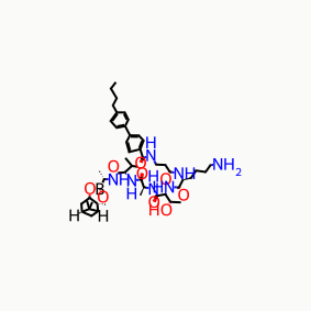 CCCCc1ccc(-c2ccc(C(=O)NCCC(=O)N[C@@H](CCCCN)C(=O)N[C@H](C(=O)N[C@@H](C)C(=O)N[C@H](C(=O)N[C@@H](C)B3OC4C[C@@H]5C[C@@H](C5(C)C)[C@]4(C)O3)C(C)C)C(C)O)cc2)cc1